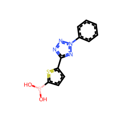 OB(O)c1ccc(-c2nnn(-c3ccccc3)n2)s1